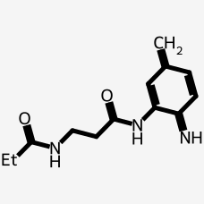 C=C1C=CC(=N)C(NC(=O)CCNC(=O)CC)=C1